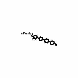 C=C[C@H]1CC[C@H](c2ccc(-c3ccc(-c4ccc(COCCCCC)c(F)c4)cc3)cc2)CC1